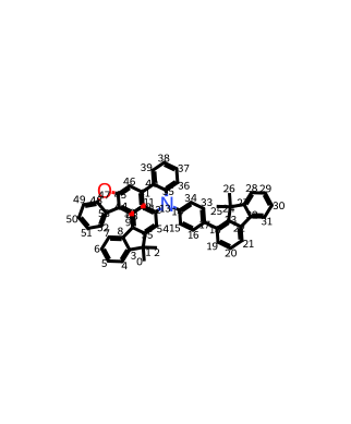 CC1(C)c2ccccc2-c2ccc(N(c3ccc(-c4cccc5c4C(C)(C)c4ccccc4-5)cc3)c3ccccc3-c3ccc4c(c3)oc3ccccc34)cc21